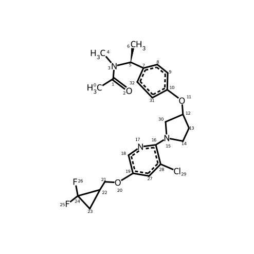 CC(=O)N(C)[C@@H](C)c1ccc(OC2CCN(c3ncc(OCC4CC4(F)F)cc3Cl)C2)cc1